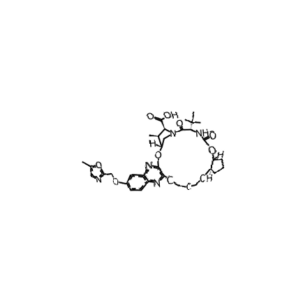 Cc1cnc(COc2ccc3nc4c(nc3c2)O[C@H]2CN(C(=O)[C@H](C(C)(C)C)NC(=O)O[C@@H]3CCC[C@H]3CCCCC4)[C@H](C(=O)O)[C@@H]2C)o1